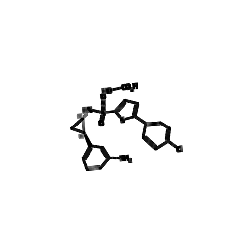 Nc1cccc([C@H]2C[C@@H]2NS(=O)(=O)c2ccc(-c3ccc(Cl)cc3)s2)c1.O=C(O)O